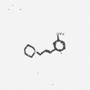 COc1cccc(C=CCN2C[CH]CCC2)c1